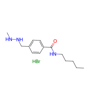 Br.CCCCCNC(=O)c1ccc(CNNC)cc1